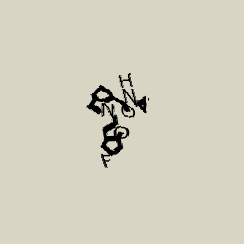 O=C(NC1[CH]C1)c1cccc2ccn(Cc3cc4cc(F)ccc4o3)c12